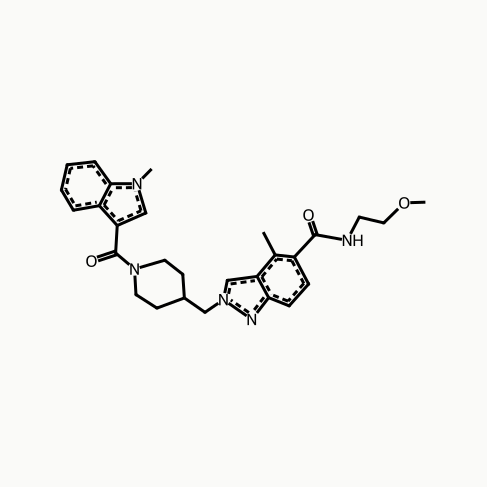 COCCNC(=O)c1ccc2nn(CC3CCN(C(=O)c4cn(C)c5ccccc45)CC3)cc2c1C